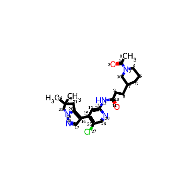 CC(=O)N1CCCC(CCC(=O)Nc2cc(-c3cnn4c3CC(C)(C)C4)c(Cl)cn2)C1